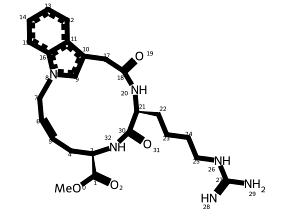 COC(=O)[C@H]1CC=CCn2cc(c3ccccc32)CC(=O)N[C@@H](CCCCNC(=N)N)C(=O)N1